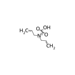 C=CC[N+](CC=C)S(=O)(=O)O